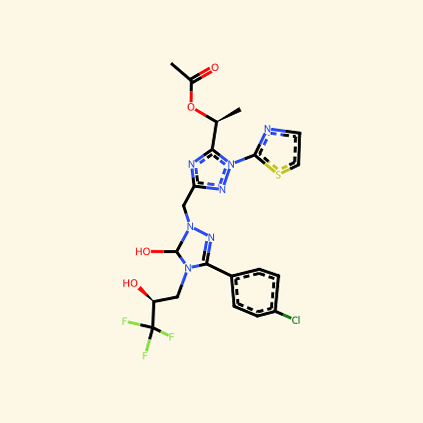 CC(=O)O[C@@H](C)c1nc(CN2N=C(c3ccc(Cl)cc3)N(C[C@H](O)C(F)(F)F)C2O)nn1-c1nccs1